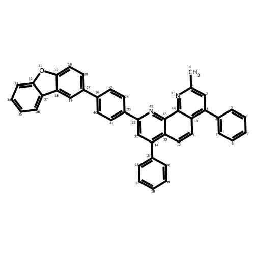 Cc1cc(-c2ccccc2)c2ccc3c(-c4ccccc4)cc(-c4ccc(-c5ccc6oc7ccccc7c6c5)cc4)nc3c2n1